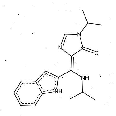 CC(C)N/C(=C1/N=CN(C(C)C)C1=O)c1cc2ccccc2[nH]1